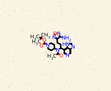 CC(=O)N(C1CCN(C(=O)OC(C)(C)C)CC1)C(CCc1nonc1N)c1cncc2nc[nH]c12